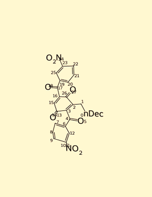 CCCCCCCCCCCC1=C(C(=O)c2cccc([N+](=O)[O-])c2)C(=O)C=C(C(=O)c2cccc([N+](=O)[O-])c2)C1=O